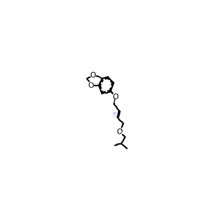 CC(C)COC/C=C/COc1ccc2c(c1)OCO2